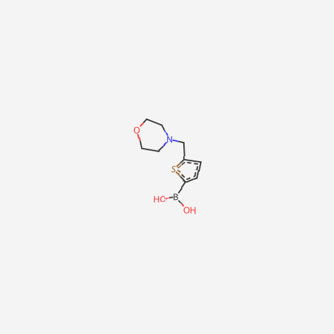 OB(O)c1ccc(CN2CCOCC2)s1